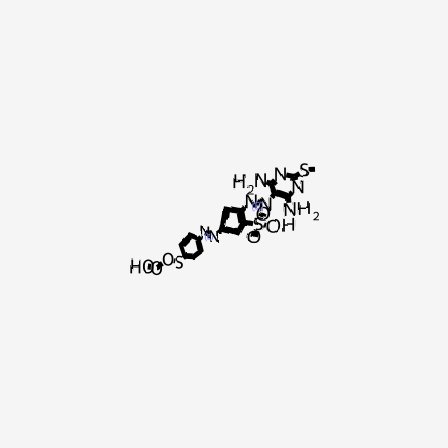 CSc1nc(N)c(/N=N/c2ccc(/N=N/c3ccc(SOOO)cc3)cc2S(=O)(=O)O)c(N)n1